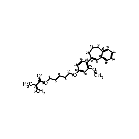 C=C(C)C(=O)OCCCCCOc1ccc(C2=Cc3ccccc3CCC2)c(OC)c1